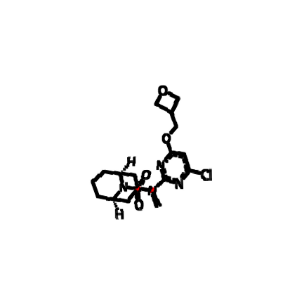 CCS(=O)(=O)N1[C@@H]2CCC[C@H]1CC(N(C)c1nc(Cl)cc(OCC3COC3)n1)C2